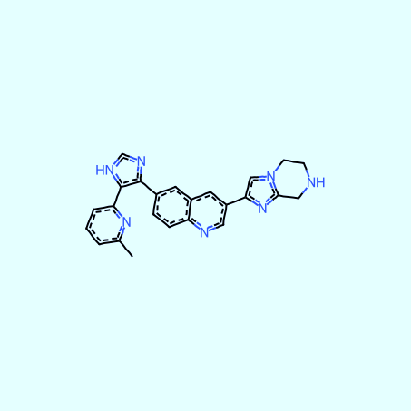 Cc1cccc(-c2[nH]cnc2-c2ccc3ncc(-c4cn5c(n4)CNCC5)cc3c2)n1